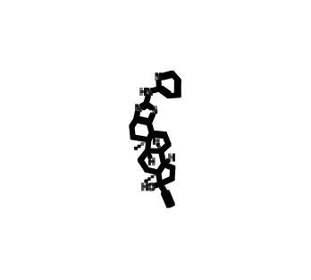 C#CC1(O)CC[C@H]2[C@@H]3CC=C4c5sc(Nc6ccccn6)nc5CC[C@]4(C)[C@H]3CC[C@@]21C